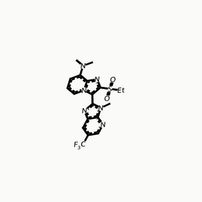 CCS(=O)(=O)c1nc2c(N(C)C)cccn2c1-c1nc2cc(C(F)(F)F)cnc2n1C